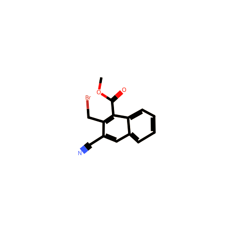 COC(=O)c1c(CBr)c(C#N)cc2ccccc12